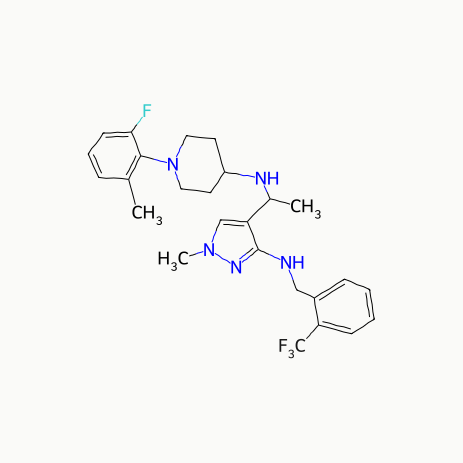 Cc1cccc(F)c1N1CCC(NC(C)c2cn(C)nc2NCc2ccccc2C(F)(F)F)CC1